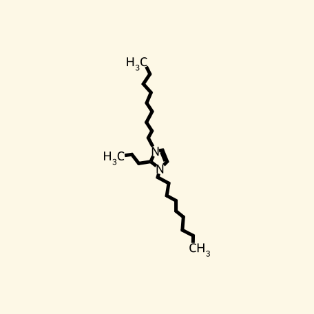 CCCCCCCCCN1C=CN(CCCCCCCCC)C1CCC